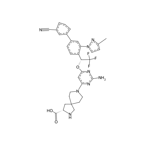 Cc1ccn(-c2cc(-c3cccc(C#N)c3)ccc2[C@@H](Oc2cc(N3CCC4(CC3)CN[C@H](C(=O)O)C4)nc(N)n2)C(F)(F)F)n1